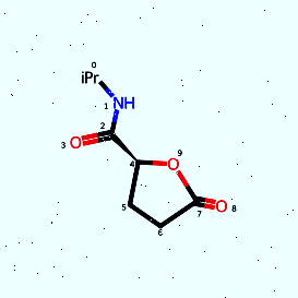 CC(C)NC(=O)[C@@H]1CCC(=O)O1